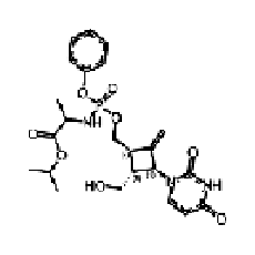 C=C1[C@@H](n2ccc(=O)[nH]c2=O)[C@H](CO)[C@H]1COP(=O)(NC(C)C(=O)OC(C)C)Oc1ccccc1